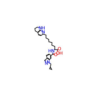 O=C(NC(CCCCCCCc1ccc2c(n1)NCCC2)C(=O)O)c1ccc2cnn(CC3CC3)c2c1